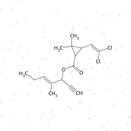 C#CC(OC(=O)C1C(C=C(Cl)Cl)C1(C)C)C(C)=CCC